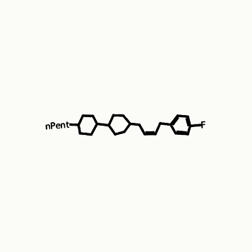 CCCCCC1CCC(C2CCC(C/C=C\Cc3ccc(F)cc3)CC2)CC1